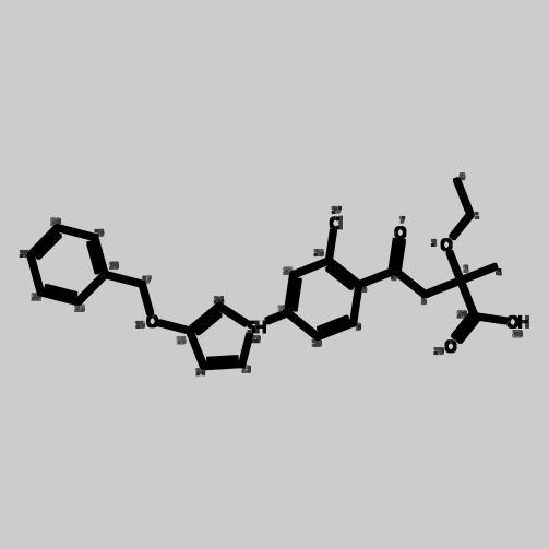 CCOC(C)(CC(=O)c1ccc([SH]2C=CC(OCc3ccccc3)=C2)cc1Cl)C(=O)O